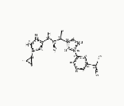 CC(C(=O)Nc1cc(C2CC2)[nH]n1)c1cnn(-c2cccc(C(F)F)c2)c1